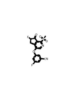 CS(=O)(=O)c1ncc(Oc2cc(F)cc(C#N)c2)c2c1C(=O)C(F)C2